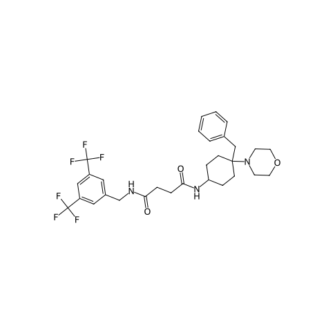 O=C(CCC(=O)NC1CCC(Cc2ccccc2)(N2CCOCC2)CC1)NCc1cc(C(F)(F)F)cc(C(F)(F)F)c1